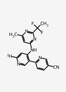 [2H]c1cc(Nc2cc(C)nc(C(C)(F)F)n2)c(-c2ccc(C#N)cn2)cn1